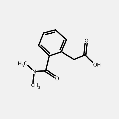 CN(C)C(=O)c1ccccc1CC(=O)O